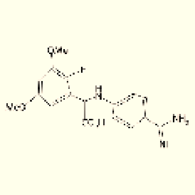 COc1cc(OC)c(F)c(C(Nc2ccc(C(=N)N)cc2)C(=O)O)c1